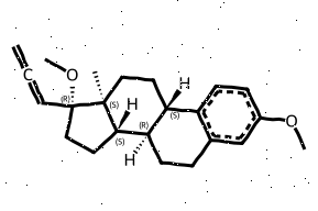 C=C=C[C@]1(OC)CC[C@H]2[C@@H]3CCc4cc(OC)ccc4[C@H]3CC[C@@]21C